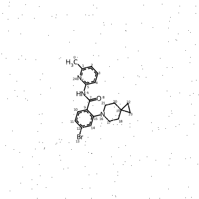 Cc1cccc(NC(=O)c2ccc(Br)cc2N2CCC3(CC2)CC3)n1